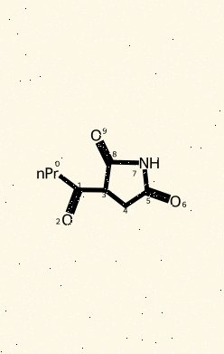 CCCC(=O)C1CC(=O)NC1=O